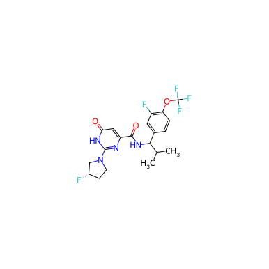 CC(C)C(NC(=O)c1cc(=O)[nH]c(N2CC[C@H](F)C2)n1)c1ccc(OC(F)(F)F)c(F)c1